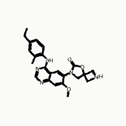 CCc1ccc(Nc2ncnc3cc(OC)c(N4CC5(CNC5)OC4=O)cc23)c(C)c1